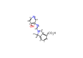 CC1(C)c2cccc(C(=O)O)c2CN1/C=N/c1cnccc1O